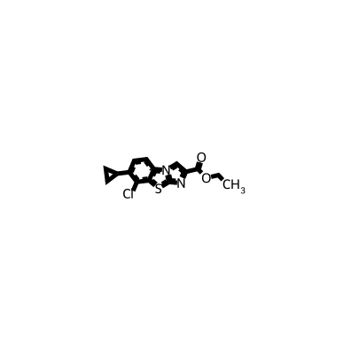 CCOC(=O)c1cn2c(n1)sc1c(Cl)c(C3CC3)ccc12